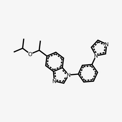 CC(C)OC(C)c1ccc2c(c1)ncn2-c1cccc(-n2ccnc2)c1